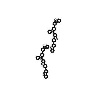 C1=CC2C(C=C1c1ccc3oc4ccccc4c3c1)c1ccccc1N2c1ccc2sc3cc(-c4ccc5c(c4)[SH](c4ccc6sc7ccc(-c8ccc9c(c8)c8ccccc8n9-c8ccc9c(c8)sc8cc(-c%10ccc%11c(c%10)sc%10ccccc%10%11)ccc89)cc7c6c4)c4ccccc4-5)ccc3c2c1